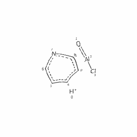 [H+].[O]=[Al][Cl].c1ccncc1